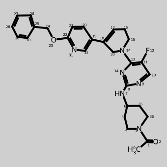 CC(=O)N1CCC(Nc2ncc(F)c(N3CCC=C(c4ccc(OCc5ccccc5)nc4)C3)n2)CC1